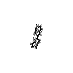 c1cc2cc(-c3ccn4nccc4n3)nn2cn1